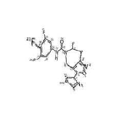 CC1Cc2noc(-c3nccs3)c2CN1C(=O)Nc1cc(F)c(F)c(F)c1